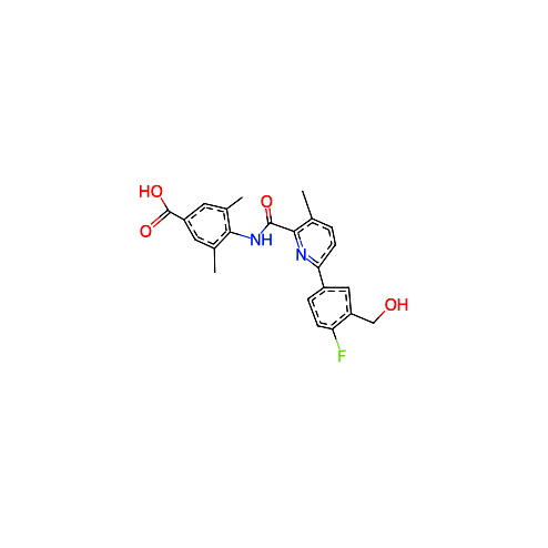 Cc1ccc(-c2ccc(F)c(CO)c2)nc1C(=O)Nc1c(C)cc(C(=O)O)cc1C